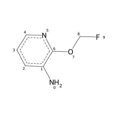 Nc1cccnc1OCF